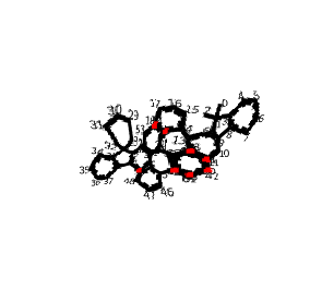 CC1(C)c2ccccc2-c2cccc(-c3ccccc3N(c3ccc4c(c3)C3(CCCCC3)c3ccccc3-4)c3ccccc3-c3ccccc3-c3ccccc3-c3ccccc3)c21